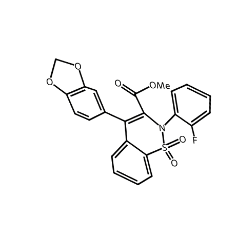 COC(=O)C1=C(c2ccc3c(c2)OCO3)c2ccccc2S(=O)(=O)N1c1ccccc1F